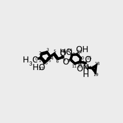 Cc1ccc(/C=C/C(=O)O[C@@H]2C[C@](O)(C(=O)NC3CC3)C[C@@H](O)[C@H]2O)cc1O